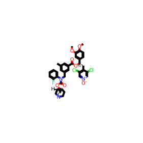 COc1ccc([C@H](Cc2c(Cl)c[n+]([O-])cc2Cl)OC(=O)c2cc(C)cc(CN(C(=O)O[C@H]3CN4CCC3CC4)c3ccccc3F)c2)cc1OC